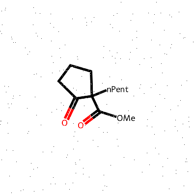 CCCCCC1(C(=O)OC)CCCC1=O